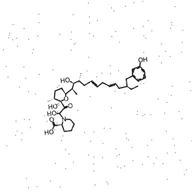 CC[C@@H](C/C=C/C/C=C/C[C@@H](C)[C@H](O)[C@@H](C)[C@@H]1CC[C@@H](C)[C@](O)(C(=O)C(O)N2CCCC[C@H]2C(=O)O)O1)Cc1cccc(O)c1